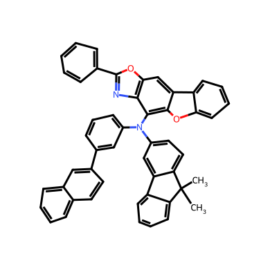 CC1(C)c2ccccc2-c2cc(N(c3cccc(-c4ccc5ccccc5c4)c3)c3c4nc(-c5ccccc5)oc4cc4c3oc3ccccc34)ccc21